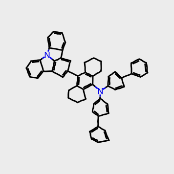 c1ccc(-c2ccc(N(c3ccc(-c4ccccc4)cc3)c3c4c(c(-c5cc6c7ccccc7n7c8ccccc8c(c5)c67)c5c3CCCC5)CCCC4)cc2)cc1